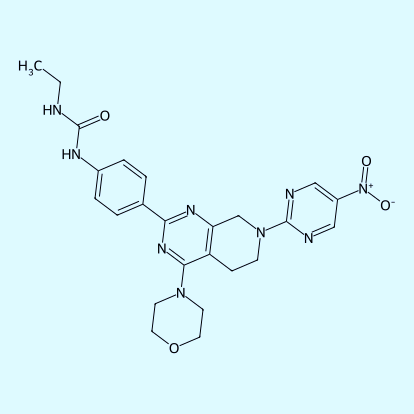 CCNC(=O)Nc1ccc(-c2nc3c(c(N4CCOCC4)n2)CCN(c2ncc([N+](=O)[O-])cn2)C3)cc1